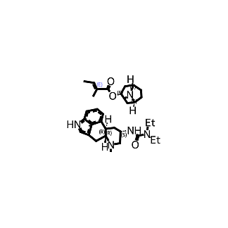 C/C=C(\C)C(=O)O[C@@H]1C[C@H]2CC[C@@H](C1)N2C.CCN(CC)C(=O)N[C@H]1C[C@@H]2c3cccc4[nH]cc(c34)C[C@H]2N(C)C1